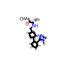 COC(=O)[C@@H](NCc1ccc(-c2ccccc2-c2nnnn2C)cc1)C(C)C